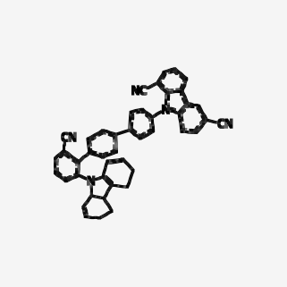 N#Cc1ccc2c(c1)c1cccc(C#N)c1n2-c1ccc(-c2ccc(-c3c(C#N)cccc3N3C4=C(CCC=C4)C4CCC=CC43)cc2)cc1